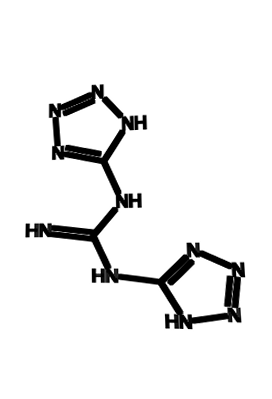 N=C(Nc1nnn[nH]1)Nc1nnn[nH]1